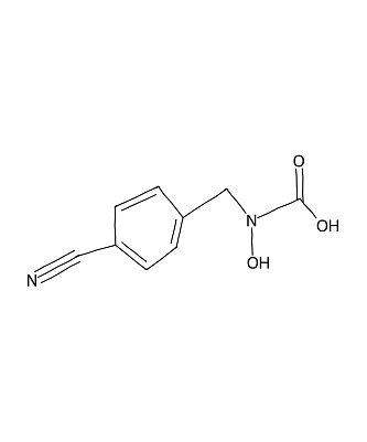 N#Cc1ccc(CN(O)C(=O)O)cc1